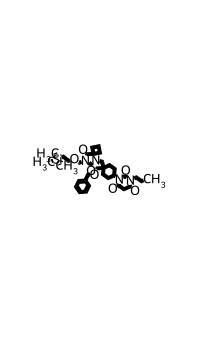 CCCN1C(=O)CC(=O)N(C2CCC(COCc3ccccc3)(CN3C(=O)N(COCC[Si](C)(C)C)C(=O)C34CCC4)CC2)C1=O